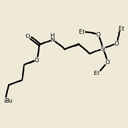 CCO[Si](CCCNC(=O)OCCCC(C)CC)(OCC)OCC